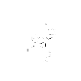 CNCCO[C@@H]1CNC[C@H](OCc2ccc3c(c2)N(CCCOC)CCO3)[C@H]1c1ccc(COC[C@@H](C)COC)cc1